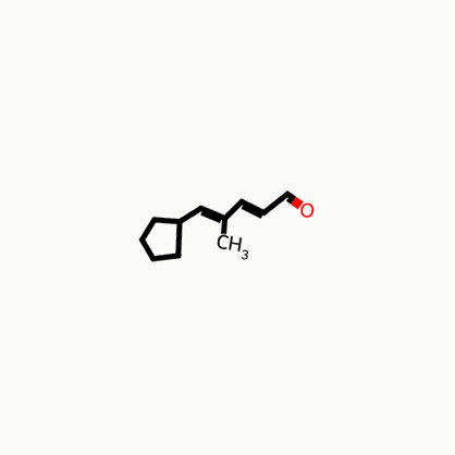 CC(/C=C/C=O)=C\C1CCCC1